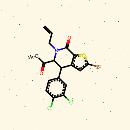 C=CCN1C(=O)c2sc(Br)cc2C(c2ccc(Cl)c(Cl)c2)C1C(=O)OC